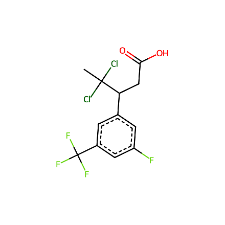 CC(Cl)(Cl)C(CC(=O)O)c1cc(F)cc(C(F)(F)F)c1